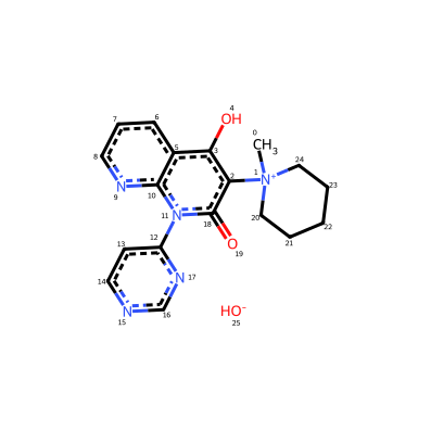 C[N+]1(c2c(O)c3cccnc3n(-c3ccncn3)c2=O)CCCCC1.[OH-]